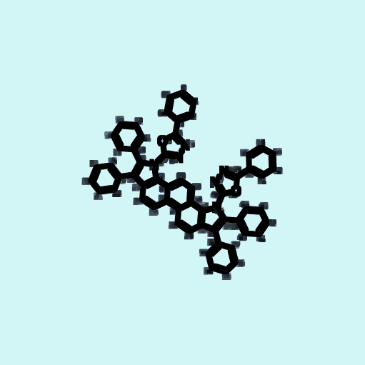 c1ccc(-c2nnc(-n3c(-c4ccccc4)c(-c4ccccc4)c4ccc5c6ccc7c(-c8ccccc8)c(-c8ccccc8)n(-c8nnc(-c9ccccc9)o8)c7c6ccc5c43)o2)cc1